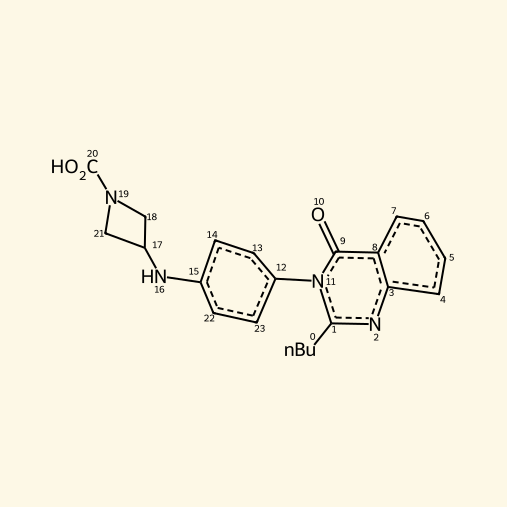 CCCCc1nc2ccccc2c(=O)n1-c1ccc(NC2CN(C(=O)O)C2)cc1